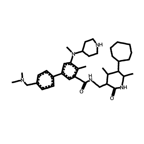 Cc1c(C(=O)NCC2C(=O)NC(C)C(C3CCCCCC3)C2C)cc(-c2ccc(CN(C)C)cc2)cc1N(C)C1CCNCC1